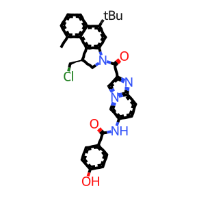 Cc1cccc2c(C(C)(C)C)cc3c(c12)[C@H](CCl)CN3C(=O)c1cn2cc(NC(=O)c3ccc(O)cc3)ccc2n1